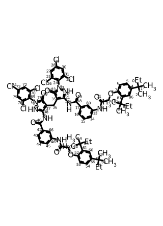 CCC(C)(C)c1ccc(OCC(=O)Nc2cccc(C(=O)Nc3[nH]n(-c4c(Cl)cc(Cl)cc4Cl)c(=O)c3Cc3c(NC(=O)c4cccc(NC(=O)COc5ccc(C(C)(C)CC)cc5C(C)(C)CC)c4)[nH]n(-c4c(Cl)cc(Cl)cc4Cl)c3=O)c2)c(C(C)(C)CC)c1